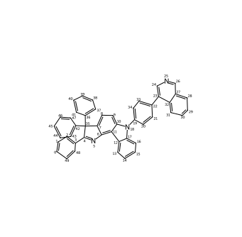 c1ccc(C2=Nc3c(ccc4c3c3ccccc3n4-c3ccc(-c4cncc5ccccc45)cc3)C2(c2ccccc2)c2ccccc2)cc1